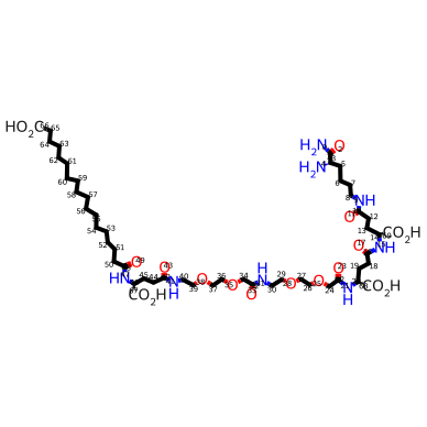 NC(=O)[C@@H](N)CCCCNC(=O)CC[C@H](NC(=O)CC[C@H](NC(=O)COCCOCCNC(=O)COCCOCCNC(=O)CC[C@H](NC(=O)CCCCCCCCCCCCCCCCC(=O)O)C(=O)O)C(=O)O)C(=O)O